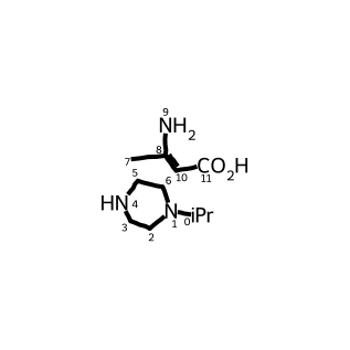 CC(C)N1CCNCC1.CC(N)=CC(=O)O